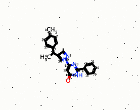 Cc1ccc(C(C)c2cnn(-c3cc(=O)[nH]c(-c4ccccc4)n3)c2)cc1